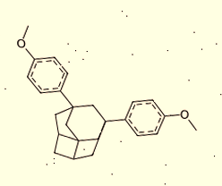 COc1ccc(C23CC4CC5CC(c6ccc(OC)cc6)(C2)CC45C3)cc1